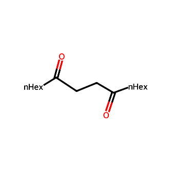 CCCCCCC(=O)CCC(=O)CCCCCC